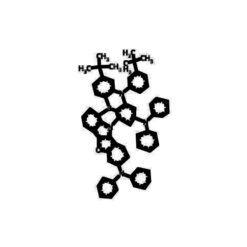 CC(C)(C)c1cccc(N2c3cc(C(C)(C)C)ccc3B3c4c2cc(N(c2ccccc2)c2ccccc2)cc4-n2c4c3cccc4c3oc4cc(N(c5ccccc5)c5ccccc5)ccc4c32)c1